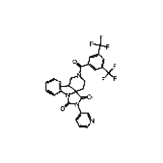 CC1CN(C(=O)c2cc(C(F)(F)F)cc(C(F)(F)F)c2)CCC12C(=O)N(c1cccnc1)C(=O)N2c1ccccc1